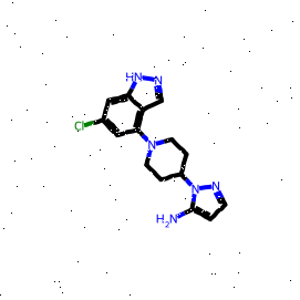 Nc1ccnn1C1CCN(c2cc(Cl)cc3[nH]ncc23)CC1